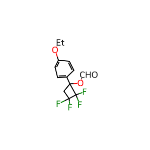 CCOc1ccc(C2(OC=O)CC(F)(F)C2(F)F)cc1